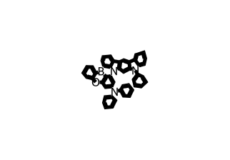 c1ccc(N(c2ccccc2)c2cc3c4c(c2)-n2c5cc6c(cc5c5cccc(c52)B4c2ccccc2O3)c2ccccc2n6-c2ccccc2)cc1